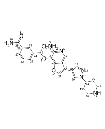 CC(Oc1c(N)ncc2c(-c3cnn(C4CCNCC4)c3)coc12)c1cccc(C(N)=O)c1